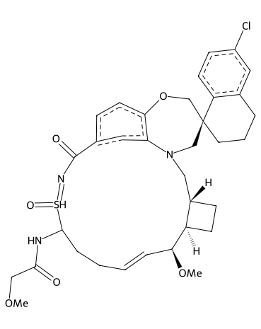 COCC(=O)NC1CC/C=C/[C@H](OC)[C@@H]2CC[C@H]2CN2C[C@@]3(CCCc4cc(Cl)ccc43)COc3ccc(cc32)C(=O)/N=[SH]\1=O